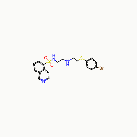 O=S(=O)(NCCNCCSc1ccc(Br)cc1)c1cccc2cnccc12